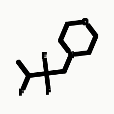 CC(F)C(F)(F)CN1CCOCC1